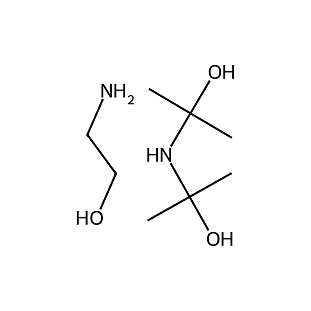 CC(C)(O)NC(C)(C)O.NCCO